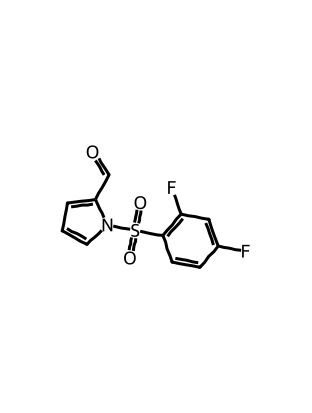 O=Cc1cccn1S(=O)(=O)c1ccc(F)cc1F